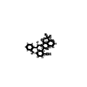 C[C@@H](Cc1ccccc1F)n1c(-c2ncccc2O)nc2ccnc(C(F)(F)F)c2c1=O